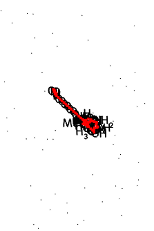 CC[C@H](C)[C@@H]1NC(=O)CNC(=O)[C@@H]2Cc3c([nH]c4c(CSCCNC(=O)NCCOCCOCCOCCOCCOCCOCCOCCn5cc(CN6C(=O)C=CC6=O)nn5)c(OC)ccc34)[S+]([O-])C[C@H](NC(=O)CNC1=O)C(=O)N[C@@H](CC(N)=O)C(=O)N1C[C@H](O)C[C@H]1C(=O)N[C@@H]([C@@H](C)[C@@H](O)CO)C(=O)N2